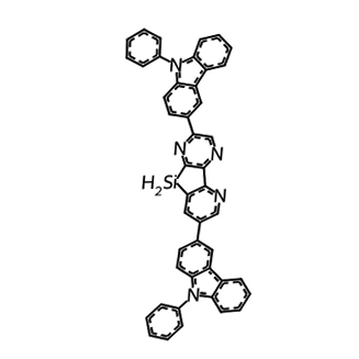 c1ccc(-n2c3ccccc3c3cc(-c4cnc5c(c4)[SiH2]c4nc(-c6ccc7c(c6)c6ccccc6n7-c6ccccc6)cnc4-5)ccc32)cc1